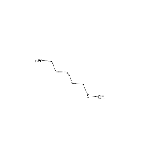 CCCCCCCCSO